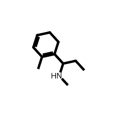 CCC(NC)C1=C(C)C=CCC1